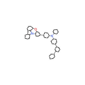 c1ccc(-c2cccc(-c3ccc(N(c4ccccc4)c4ccc(-c5ccc6c(c5)Oc5cccc7c8ccccc8n-6c57)cc4)cc3)c2)cc1